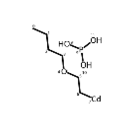 CCCCOC[CH2][Cd].OP(O)O